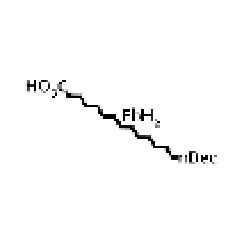 CCCCCCCCCCCCCCCCCCCCCCCC(=O)O.[PbH2]